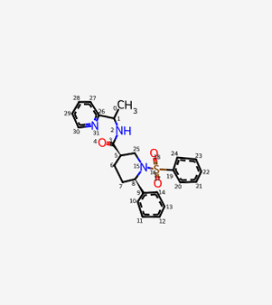 CC(NC(=O)[C@@H]1CC[C@H](c2ccccc2)N(S(=O)(=O)c2ccccc2)C1)c1ccccn1